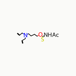 C=CCN(CC=C)CCCCOC(=S)NC(C)=O